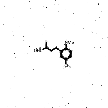 CNc1ccc(C(F)(F)F)cc1CCC(C)C=O